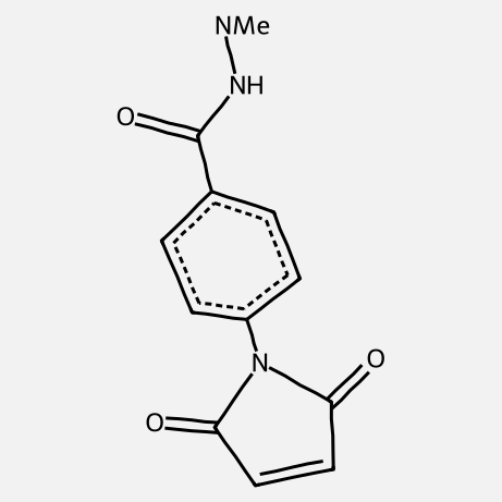 CNNC(=O)c1ccc(N2C(=O)C=CC2=O)cc1